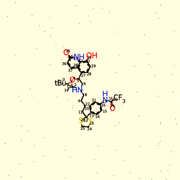 CC(C)(C)[Si](C)(C)OC(CNCCCCC1(c2ccc(NC(=O)C(F)(F)F)cc2)SCCS1)c1ccc(O)c2[nH]c(=O)ccc12